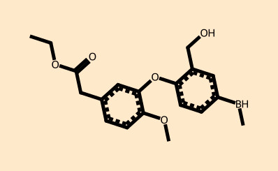 CBc1ccc(Oc2cc(CC(=O)OCC)ccc2OC)c(CO)c1